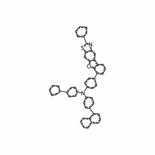 c1ccc(-c2ccc(N(c3ccc(-c4cccc5ccccc45)cc3)c3ccc(-c4cccc5c4oc4cc6sc(-c7ccccc7)nc6cc45)cc3)cc2)cc1